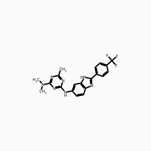 Cc1nc(Nc2ccc3nc(-c4ccc(C(F)(F)F)cc4)[nH]c3c2)nc(N(C)C)n1